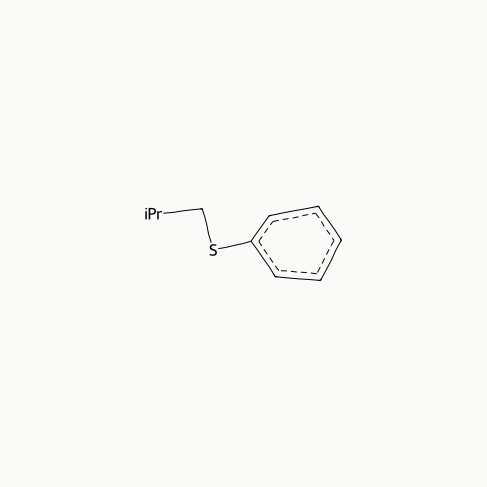 CC(C)CSc1ccccc1